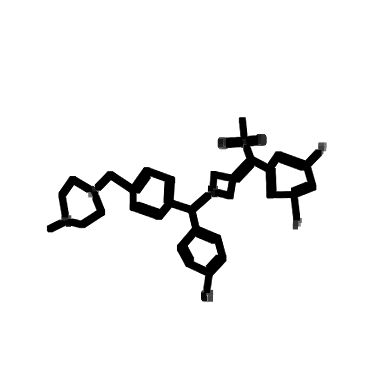 CN1CCN(Cc2ccc(C(c3ccc(Cl)cc3)N3CC(=C(c4cc(F)cc(F)c4)S(C)(=O)=O)C3)cc2)CC1